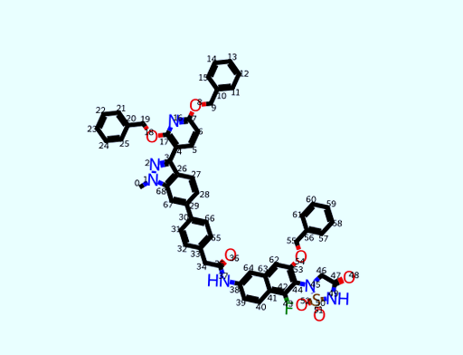 Cn1nc(-c2ccc(OCc3ccccc3)nc2OCc2ccccc2)c2ccc(-c3ccc(CC(=O)Nc4ccc5c(F)c(N6CC(=O)NS6(=O)=O)c(OCc6ccccc6)cc5c4)cc3)cc21